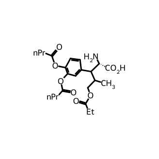 CCCC(=O)Oc1ccc(C(C(C)COC(=O)CC)[C@H](N)C(=O)O)cc1OC(=O)CCC